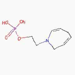 O=P(O)(O)OCCN1C=CC=CC1